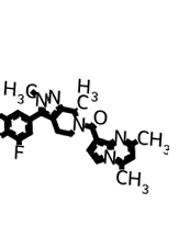 Cc1cc(C)n2ccc(C(=O)N3CCc4c(nn(C)c4-c4cc(F)c(F)c(F)c4)[C@@H]3C)c2n1